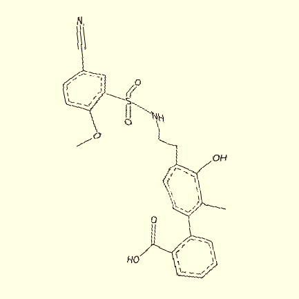 COc1ccc(C#N)cc1S(=O)(=O)NCCc1ccc(-c2ccccc2C(=O)O)c(C)c1O